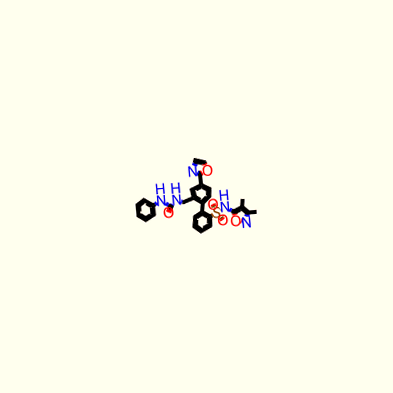 Cc1noc(NS(=O)(=O)c2ccccc2-c2ccc(-c3ncco3)cc2CNC(=O)Nc2ccccc2)c1C